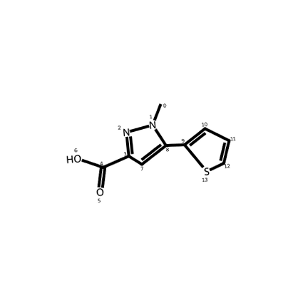 Cn1nc(C(=O)O)cc1-c1cccs1